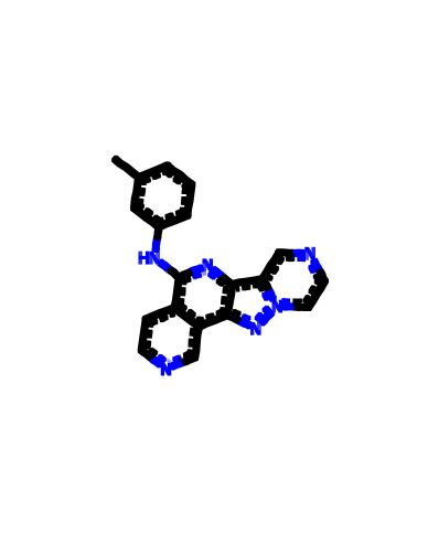 Cc1cccc(Nc2nc3c(nn4ccncc34)c3cnccc23)c1